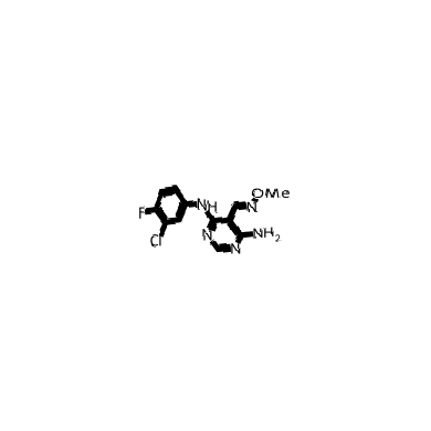 CON=Cc1c(N)ncnc1Nc1ccc(F)c(Cl)c1